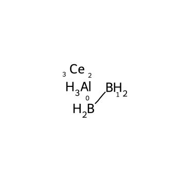 BB.[AlH3].[Ce]